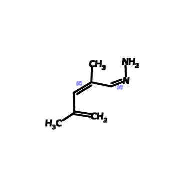 C=C(C)/C=C(C)\C=N/N